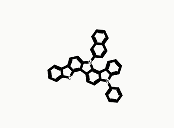 c1ccc(-n2c3ccccc3c3c2ccc2c4c5oc6ccccc6c5ccc4n(-c4ccc5ccccc5c4)c23)cc1